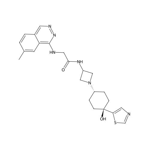 Cc1ccc2cnnc(NCC(=O)NC3CN([C@H]4CC[C@@](O)(c5cncs5)CC4)C3)c2c1